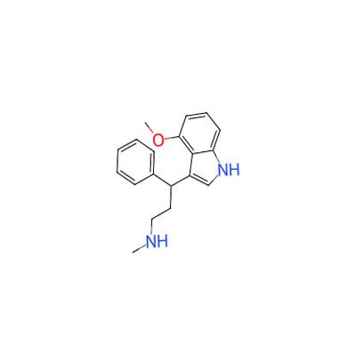 CNCCC(c1ccccc1)c1c[nH]c2cccc(OC)c12